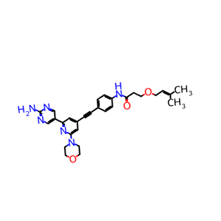 CC(C)=CCOCCC(=O)Nc1ccc(C#Cc2cc(-c3cnc(N)nc3)nc(N3CCOCC3)c2)cc1